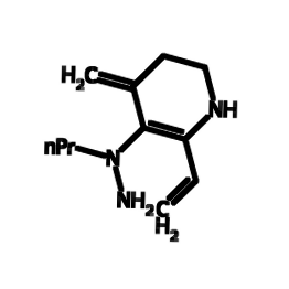 C=CC1=C(N(N)CCC)C(=C)CCN1